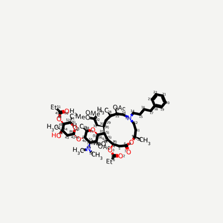 CCC(=O)O[C@@H]1CC(=O)O[C@H](C)CCN(CCCCc2ccccc2)C[C@H](OC(C)=O)[C@H](C)C[C@H](CC(OC)OC)[C@H]([C@@H]2O[C@H](C)[C@@H](O[C@@H]3C[C@@](C)(O)[C@@H](OC(=O)CC)[C@H](C)O3)[C@H](N(C)C)[C@H]2OC(C)=O)[C@@H]1OC